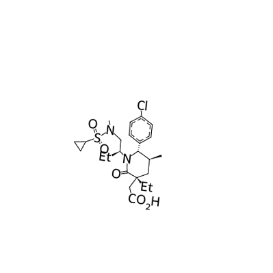 CC[C@@H](CN(C)S(=O)(=O)C1CC1)N1C(=O)[C@@](CC)(CC(=O)O)C[C@H](C)[C@H]1c1ccc(Cl)cc1